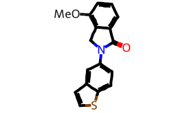 COc1cccc2c1CN(c1ccc3sccc3c1)C2=O